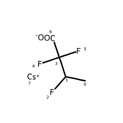 CC(F)C(F)(F)C(=O)[O-].[Cs+]